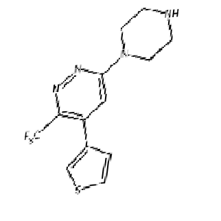 FC(F)(F)c1nnc(N2CCNCC2)cc1-c1ccsc1